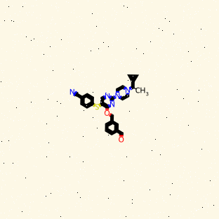 C[C@@H](C1CC1)N1CCN(c2ncc(Sc3ccc(C#N)cc3)c(OCc3cccc(C=O)c3)n2)CC1